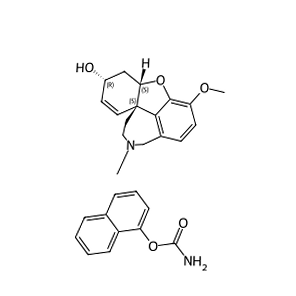 COc1ccc2c3c1O[C@H]1C[C@@H](O)C=C[C@@]31CCN(C)C2.NC(=O)Oc1cccc2ccccc12